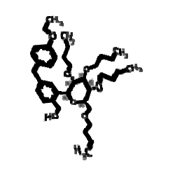 CCCCOC[C@H]1O[C@@H](c2cc(Cc3ccc(OCC)cc3)ccc2CO)[C@H](OCCCC)[C@@H](OCCCC)[C@@H]1OCCCC